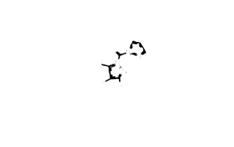 CCc1c(C(C)C)nn(C(=O)n2cccn2)c1CC